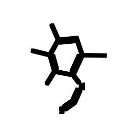 Cc1cc(C)c(N=C=S)c(C)c1C